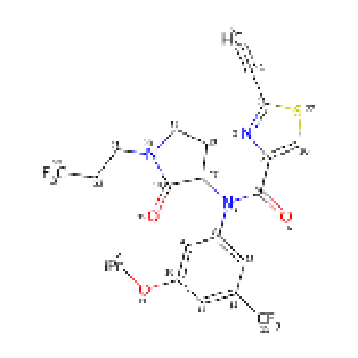 C#Cc1nc(C(=O)N(c2cc(OC(C)C)cc(C(F)(F)F)c2)C2CCN(CCC(F)(F)F)C2=O)cs1